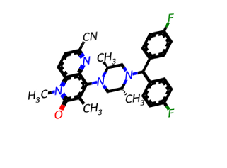 Cc1c(N2C[C@@H](C)N(C(c3ccc(F)cc3)c3ccc(F)cc3)C[C@@H]2C)c2nc(C#N)ccc2n(C)c1=O